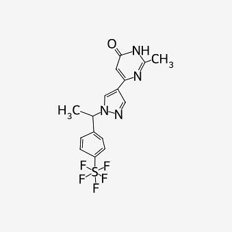 Cc1nc(-c2cnn(C(C)c3ccc(S(F)(F)(F)(F)F)cc3)c2)cc(=O)[nH]1